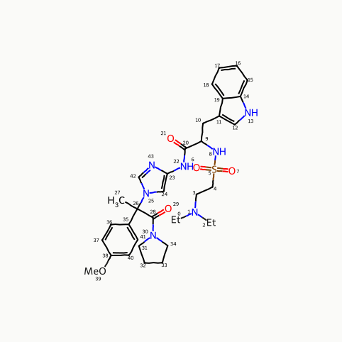 CCN(CC)CCS(=O)(=O)NC(Cc1c[nH]c2ccccc12)C(=O)Nc1cn(C(C)(C(=O)N2CCCC2)c2ccc(OC)cc2)cn1